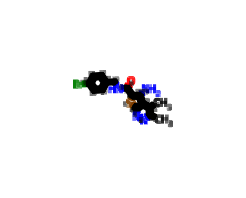 Cc1nnc2sc(C(=O)NCc3ccc(Br)cc3)c(N)c2c1C